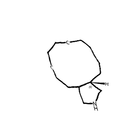 C1CCCCC[C@@H]2CNCC2CCCC1